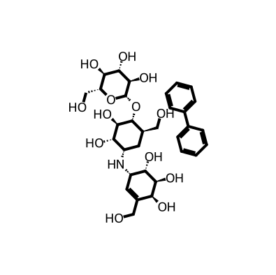 OCC1=C[C@H](N[C@H]2C[C@H](CO)[C@@H](O[C@@H]3O[C@H](CO)[C@@H](O)[C@H](O)[C@H]3O)[C@H](O)[C@H]2O)[C@H](O)[C@@H](O)[C@H]1O.c1ccc(-c2ccccc2)cc1